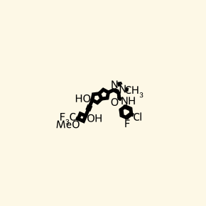 COC1(C(F)(F)F)CC(O)(C#CC2(O)CC3CC(c4ncn(C)c4C(=O)Nc4ccc(F)c(Cl)c4)CC3C2)C1